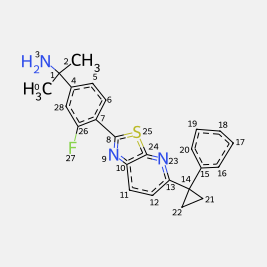 CC(C)(N)c1ccc(-c2nc3ccc(C4(c5ccccc5)CC4)nc3s2)c(F)c1